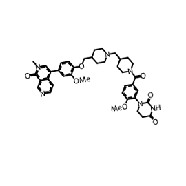 COc1cc(-c2cn(C)c(=O)c3cnccc23)ccc1OCC1CCN(CC2CCN(C(=O)c3ccc(OC)c(N4CCC(=O)NC4=O)c3)CC2)CC1